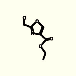 CCOC(=O)c1coc(CCl)n1